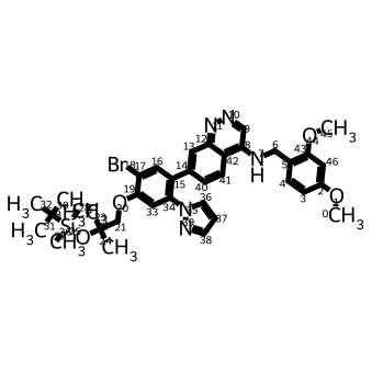 COc1ccc(CNc2cnnc3cc(-c4cc(Br)c(OCC(C)(C)O[Si](C)(C)C(C)(C)C)cc4-n4cccn4)ccc23)c(OC)c1